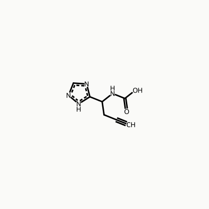 C#CCC(NC(=O)O)c1ncn[nH]1